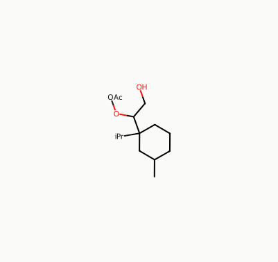 CC(=O)OOC(CO)C1(C(C)C)CCCC(C)C1